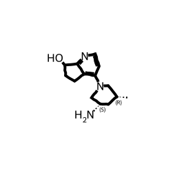 C[C@@H]1C[C@H](N)CN(c2ccnc3c2CCC3O)C1